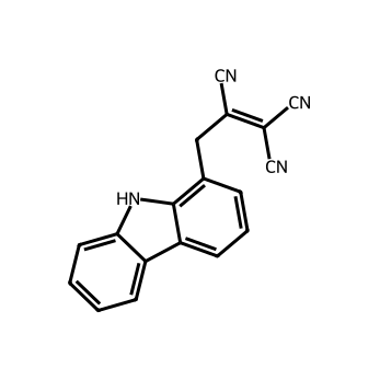 N#CC(C#N)=C(C#N)Cc1cccc2c1[nH]c1ccccc12